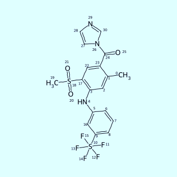 Cc1cc(Nc2cccc(S(F)(F)(F)(F)F)c2)c(S(C)(=O)=O)cc1C(=O)n1ccnc1